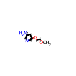 COCCOc1cncc(N)c1